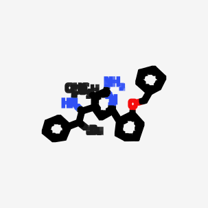 CC(C)(C)C(c1ccccc1)C(NC(=O)O)c1cc(-c2ccccc2OCc2ccccc2)nc(N)c1C=O